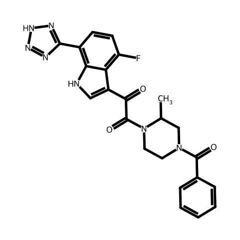 CC1CN(C(=O)c2ccccc2)CCN1C(=O)C(=O)c1c[nH]c2c(-c3nn[nH]n3)ccc(F)c12